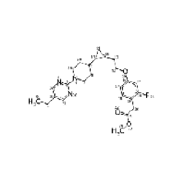 CCc1cnc(N2CCC([C@H]3C[C@H]3CCOc3ccc(CC(=O)OC)c(F)c3)CC2)nc1